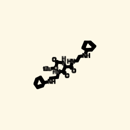 CC(C)(C)OC(=O)NC(C(=O)NCCNc1ccccc1)C(=O)NCCNc1ccccc1